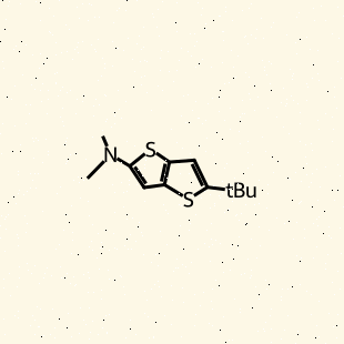 CN(C)c1cc2sc(C(C)(C)C)cc2s1